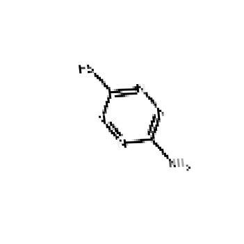 Nc1nnc(S)nn1